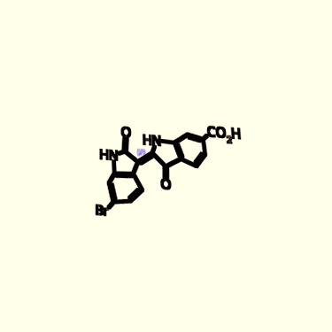 O=C1Nc2cc(Br)ccc2/C1=C1/Nc2cc(C(=O)O)ccc2C1=O